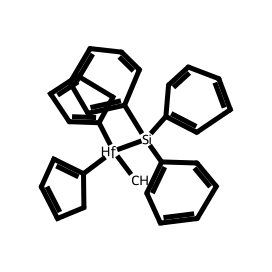 [CH3][Hf]([C]1=CC=CC1)([C]1=CC=CC1)[Si](c1ccccc1)(c1ccccc1)c1ccccc1